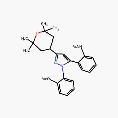 COc1ccccc1-n1nc(C2CC(C)(C)OC(C)(C)C2)cc1-c1ccccc1NC(C)=O